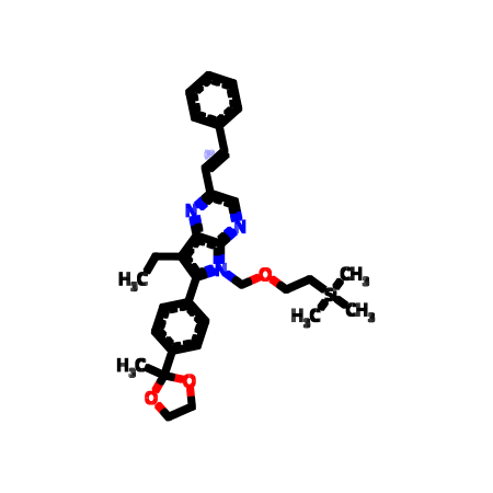 CCc1c(-c2ccc(C3(C)OCCO3)cc2)n(COCC[Si](C)(C)C)c2ncc(/C=C/c3ccccc3)nc12